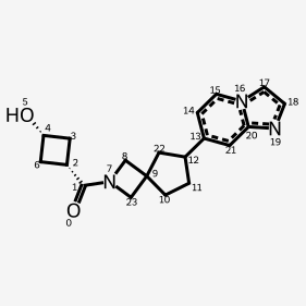 O=C([C@H]1C[C@@H](O)C1)N1CC2(CCC(c3ccn4ccnc4c3)C2)C1